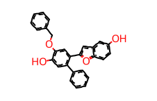 Oc1ccc2oc(-c3cc(OCc4ccccc4)c(O)cc3-c3ccccc3)cc2c1